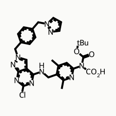 Cc1cc(N(C(=O)O)C(=O)OC(C)(C)C)nc(C)c1CNc1nc(Cl)nc2nn(Cc3ccc(Cn4cccn4)cc3)cc12